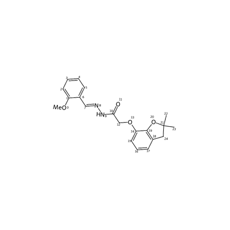 COc1ccccc1C=NNC(=O)COc1cccc2c1OC(C)(C)C2